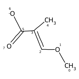 CO/C=C(\C)C([O])=O